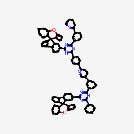 c1ccc(-c2nc(-c3cccc(-c4ccc(-c5ccc(-c6nc(-c7cccc(-c8ccccn8)c7)nc(-c7ccc8c(c7)C7(c9ccccc9Oc9ccccc97)c7ccccc7-8)n6)cc5)nc4)c3)nc(-c3ccc4c(c3)C3(c5ccccc5Oc5ccccc53)c3ccccc3-4)n2)cc1